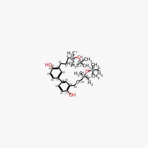 C[Si](C)(C)O[Si](C)(C)CCCc1cc(-c2ccc(O)c(CCC[Si](C)(C)O[Si](C)(C)C)c2)ccc1O